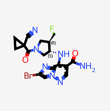 N#CC1(C(=O)N2C[C@@H](CF)[C@H](Nc3c(C(N)=O)cnn4cc(Br)nc34)C2)CC1